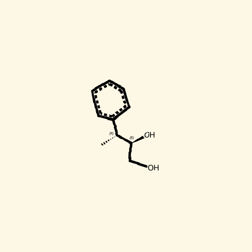 C[C@H](c1ccccc1)[C@@H](O)CO